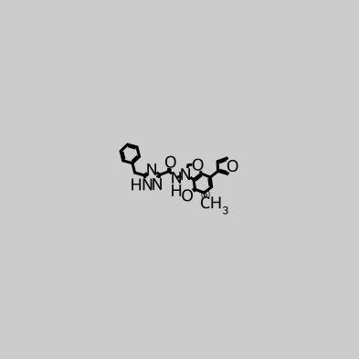 C[C@H]1C=C(c2ccoc2)C2=C(C1=O)N(NC(=O)c1n[nH]c(Cc3ccccc3)n1)CO2